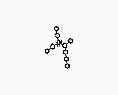 c1ccc(-c2ccc(-c3ccc(-c4cc(-c5ccccc5)cc(-c5nc(-c6ccc(-c7ccccc7)cc6)nc(-c6ccc(-c7ccccc7)cc6)n5)c4)cc3)cc2)cc1